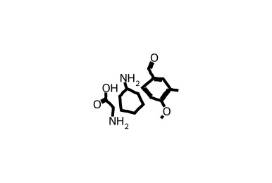 COc1ccc(C=O)cc1C.NC1CCCCC1.NCC(=O)O